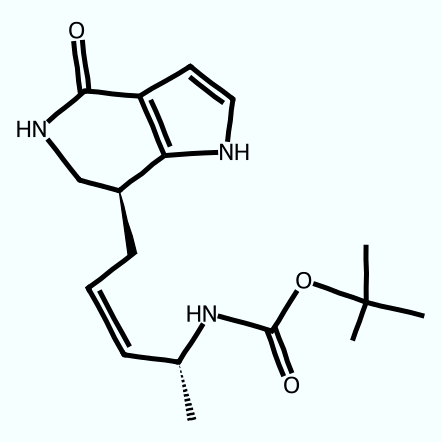 C[C@H](/C=C\C[C@H]1CNC(=O)c2cc[nH]c21)NC(=O)OC(C)(C)C